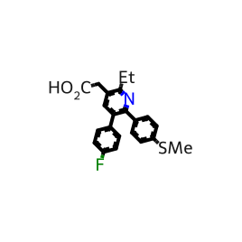 CCc1nc(-c2ccc(SC)cc2)c(-c2ccc(F)cc2)cc1CC(=O)O